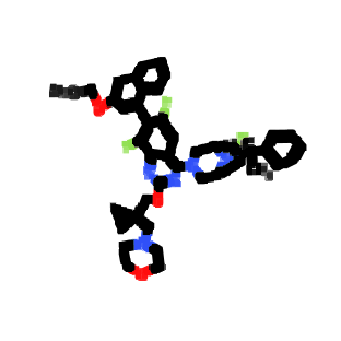 COCOc1cc(-c2c(F)cc3c(N4CC5CC(F)C(C4)N5C(C)(C)c4ccccc4)nc(OCC4(CN5CCOCC5)CC4)nc3c2F)c2ccccc2c1